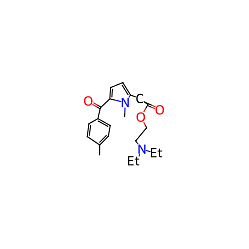 CCN(CC)CCOC(=O)Cc1ccc(C(=O)c2ccc(C)cc2)n1C